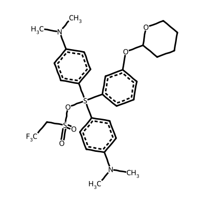 CN(C)c1ccc(S(OS(=O)(=O)CC(F)(F)F)(c2ccc(N(C)C)cc2)c2cccc(OC3CCCCO3)c2)cc1